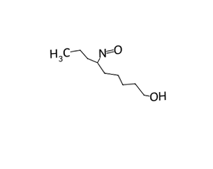 CCCC(CCCCCO)N=O